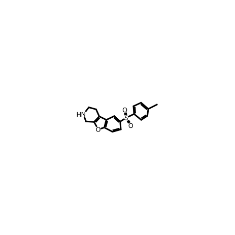 Cc1ccc(S(=O)(=O)c2ccc3oc4c(c3c2)CCNC4)cc1